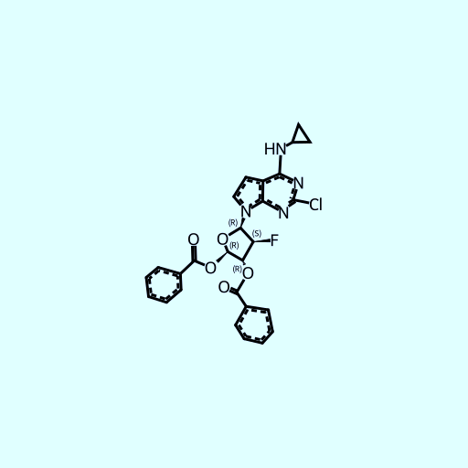 O=C(O[C@H]1O[C@@H](n2ccc3c(NC4CC4)nc(Cl)nc32)[C@@H](F)[C@@H]1OC(=O)c1ccccc1)c1ccccc1